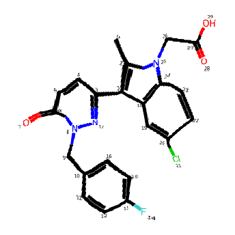 Cc1c(-c2ccc(=O)n(Cc3ccc(F)cc3)n2)c2cc(Cl)ccc2n1CC(=O)O